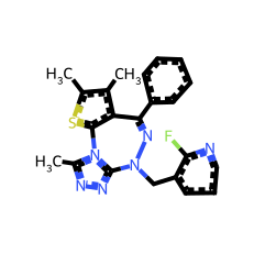 Cc1sc2c(c1C)C(c1ccccc1)=NN(Cc1cccnc1F)c1nnc(C)n1-2